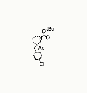 CC(=O)C1(Cc2ccc(Cl)cc2)CCCN(C(=O)OC(C)(C)C)C1